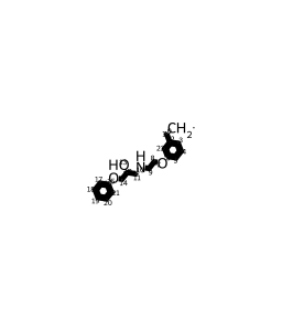 [CH2]Cc1cccc(OCCNCC(O)COc2ccccc2)c1